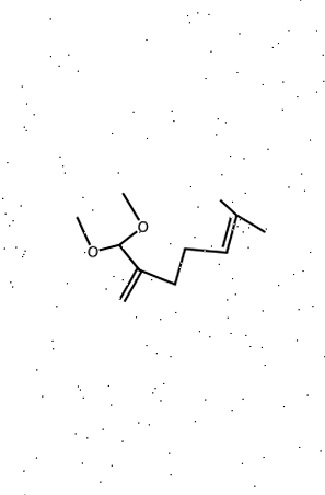 C=C(CCC=C(C)C)C(OC)OC